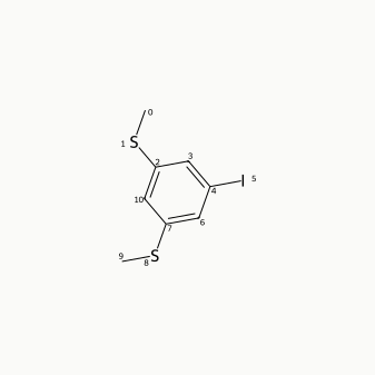 CSc1cc(I)cc(SC)c1